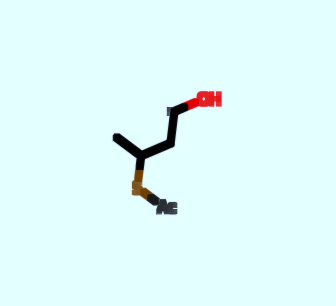 CC(=O)SC(C)C[C]O